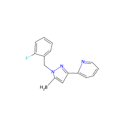 Bc1cc(-c2ccccn2)nn1Cc1ccccc1F